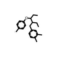 [CH2]c1ccc(OC(CC)C(CC)Cc2ccc(C)c(C)c2)cc1